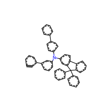 c1cccc(-c2cccc(N(c3ccc(-c4ccccc4)cc3)c3ccc4c(c3)C(c3ccccc3)(c3ccccc3)c3ccccc3-4)c2)c#1